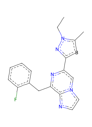 CCn1nc(-c2cn3ccnc3c(Cc3ccccc3F)n2)bc1C